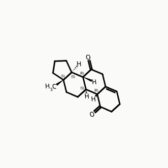 C[C@@]12CCC[C@H]1[C@@H]1C(=O)CC3=CCCC(=O)[C@@H]3[C@H]1CC2